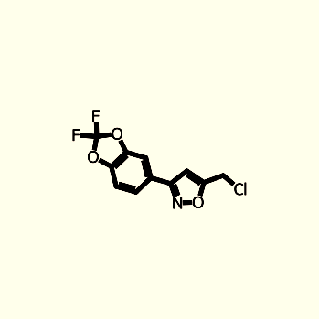 FC1(F)Oc2ccc(-c3cc(CCl)on3)cc2O1